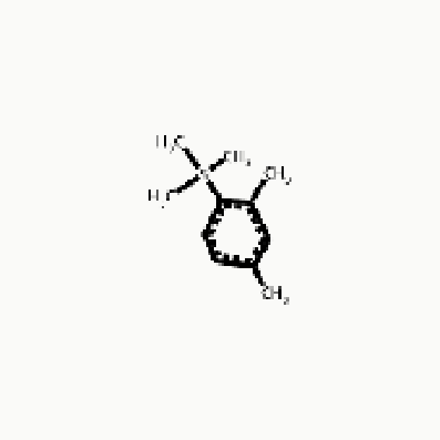 Cc1ccc([Si](C)(C)C)c(C)c1